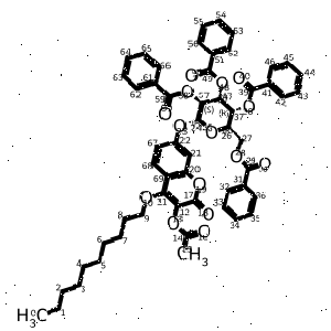 CCCCCCCCCCOc1c(OC(C)=O)c(=O)oc2cc(O[C@H]3O[C@H](COC(=O)c4ccccc4)[C@@H](OC(=O)c4ccccc4)[C@H](OC(=O)c4ccccc4)[C@@H]3OC(=O)c3ccccc3)ccc12